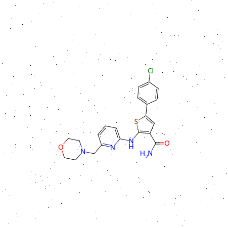 NC(=O)c1cc(-c2ccc(Cl)cc2)sc1Nc1cccc(CN2CCOCC2)n1